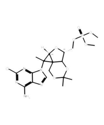 COP(=O)(OC)OC[C@H]1O[C@@H]2C3(COC(C)(C)OC13)C2(C)n1cnc2c(N)nc(Cl)nc21